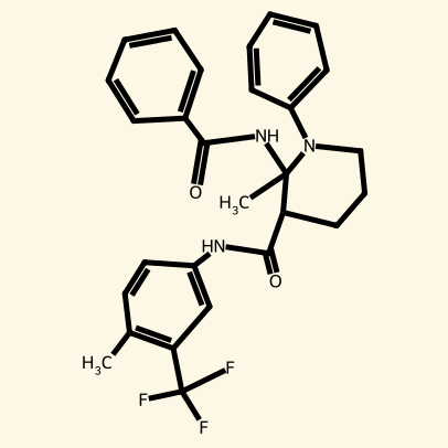 Cc1ccc(NC(=O)C2CCCN(c3ccccc3)C2(C)NC(=O)c2ccccc2)cc1C(F)(F)F